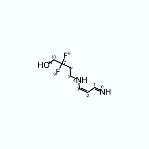 N=C/C=C\NCCC(F)(F)CO